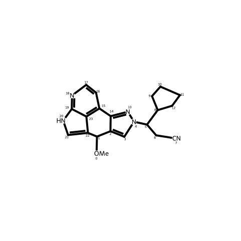 COC1c2cn(C(CC#N)C3CCCC3)nc2-c2ccnc3[nH]cc1c23